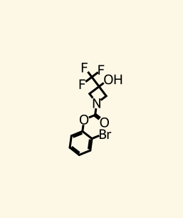 O=C(Oc1ccccc1Br)N1CC(O)(C(F)(F)F)C1